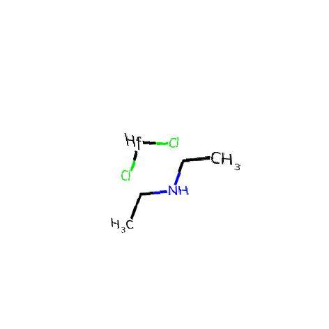 CCNCC.[Cl][Hf][Cl]